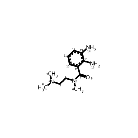 CN(C)CCN(C)C(=O)c1cccc(N)c1N